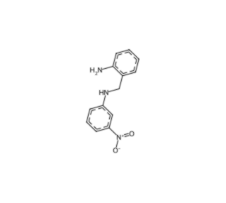 Nc1ccccc1CNc1cccc([N+](=O)[O-])c1